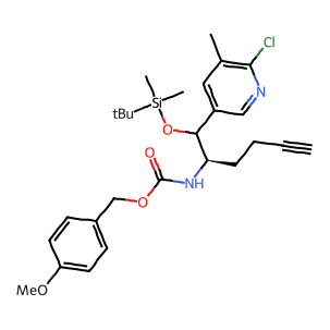 C#CCC[C@@H](NC(=O)OCc1ccc(OC)cc1)C(O[Si](C)(C)C(C)(C)C)c1cnc(Cl)c(C)c1